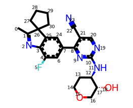 CC1=Nc2c(F)cc(-c3nc(N[C@@H]4CCOC[C@H]4O)ncc3C#N)cc2C12CCCC2